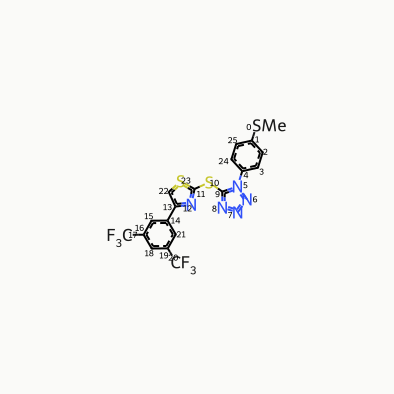 CSc1ccc(-n2nnnc2Sc2nc(-c3cc(C(F)(F)F)cc(C(F)(F)F)c3)cs2)cc1